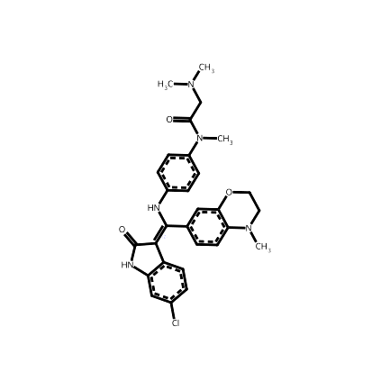 CN(C)CC(=O)N(C)c1ccc(N/C(=C2\C(=O)Nc3cc(Cl)ccc32)c2ccc3c(c2)OCCN3C)cc1